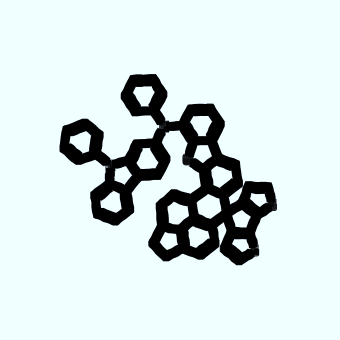 c1ccc(N(c2ccc3c4ccccc4n(-c4ccccc4)c3c2)c2cccc3c2oc2c4c(ccc23)C2(c3ccsc3-c3sccc32)c2ccc3c5c(ccc-4c25)CC3)cc1